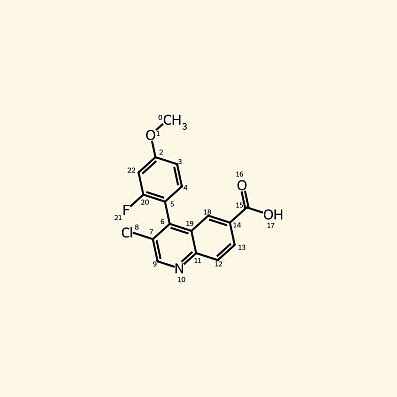 COc1ccc(-c2c(Cl)cnc3ccc(C(=O)O)cc23)c(F)c1